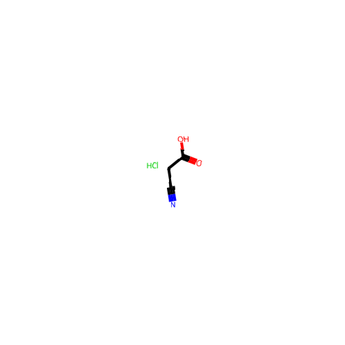 Cl.N#CCC(=O)O